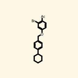 CC(=O)c1ccc(OCc2ccc(C3CCCCC3)cc2)cc1Br